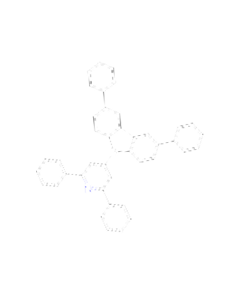 c1ccc(-c2ccc3c(c2)-c2cc(-c4ccccc4)ccc2B3c2cc(-c3ccccc3)nc(-c3ccccc3)c2)cc1